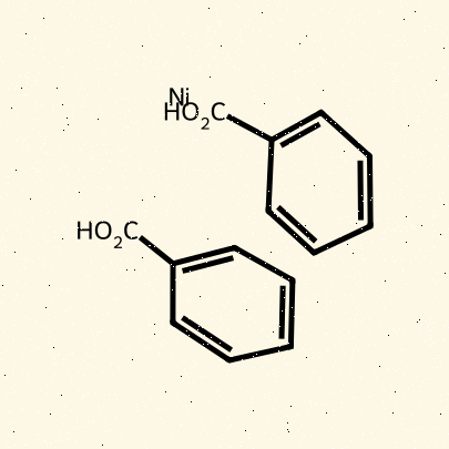 O=C(O)c1ccccc1.O=C(O)c1ccccc1.[Ni]